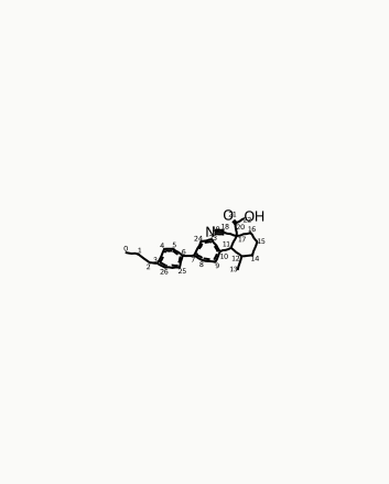 CCCc1ccc(-c2ccc(C3C(C)CCCC3(C#N)C(=O)O)cc2)cc1